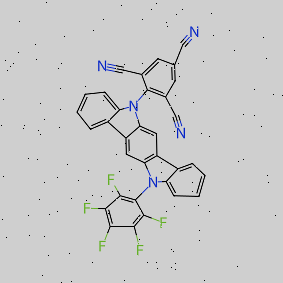 N#Cc1cc(C#N)c(-n2c3ccccc3c3cc4c(cc32)c2ccccc2n4-c2c(F)c(F)c(F)c(F)c2F)c(C#N)c1